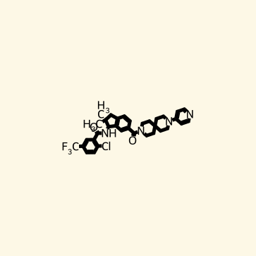 CC1(C)Cc2ccc(C(=O)N3CCC4(CC3)CCN(c3ccncc3)CC4)cc2C1NC(=O)c1cc(C(F)(F)F)ccc1Cl